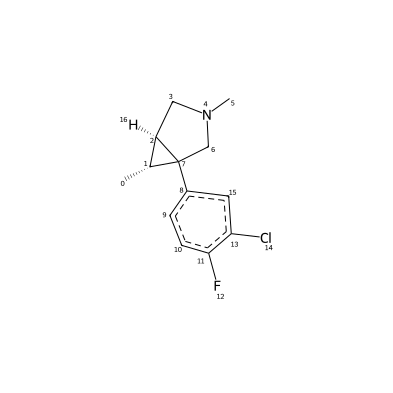 C[C@@H]1[C@H]2CN(C)CC12c1ccc(F)c(Cl)c1